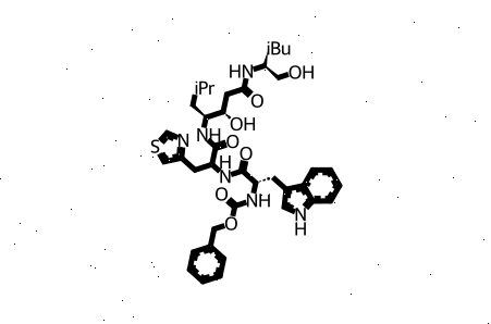 CC[C@H](C)[C@@H](CO)NC(=O)C[C@H](O)[C@H](CC(C)C)NC(=O)C(Cc1cscn1)NC(=O)[C@H](Cc1c[nH]c2ccccc12)NC(=O)OCc1ccccc1